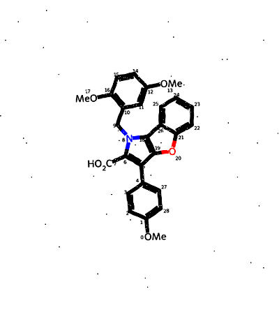 COc1ccc(-c2c(C(=O)O)n(Cc3cc(OC)ccc3OC)c3c2oc2ccccc23)cc1